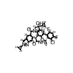 CCOc1c(CC(N)=O)cc([C@@](O)(CNC(=O)c2ccc3nn(C4CC4)cc3c2)C2CC2)nc1-c1cc(Cl)c(F)cc1F